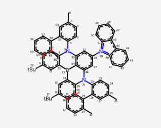 Cc1ccc(N2c3ccc(C(C)(C)C)cc3B3c4cc(C(C)(C)C)ccc4N(c4ccc(C)cc4-c4ccccc4C)c4cc(-n5c6ccccc6c6ccccc65)cc2c43)c(-c2ccccc2C)c1